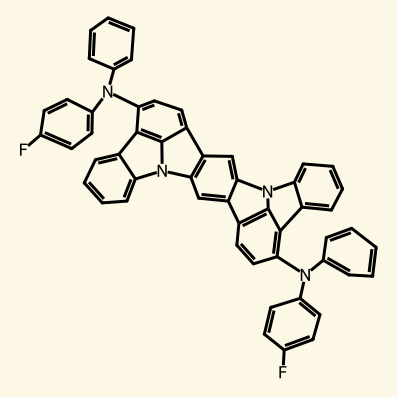 Fc1ccc(N(c2ccccc2)c2ccc3c4cc5c(cc4n4c6ccccc6c2c34)c2ccc(N(c3ccccc3)c3ccc(F)cc3)c3c4ccccc4n5c23)cc1